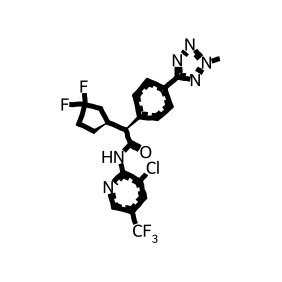 Cn1nnc(-c2ccc([C@@H](C(=O)Nc3ncc(C(F)(F)F)cc3Cl)[C@H]3CCC(F)(F)C3)cc2)n1